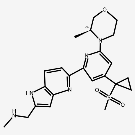 CNCc1cc2nc(-c3cc(C4(S(C)(=O)=O)CC4)cc(N4CCOC[C@@H]4C)n3)ccc2[nH]1